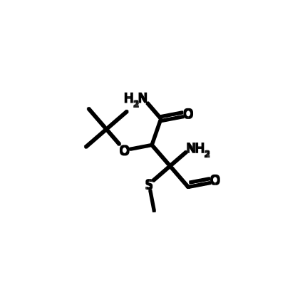 CSC(N)(C=O)C(OC(C)(C)C)C(N)=O